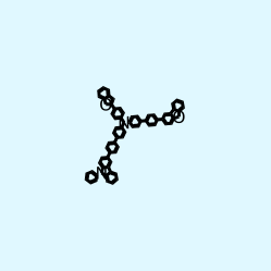 c1ccc(-n2c3ccccc3c3cc(-c4ccc(-c5ccc(N(c6ccc(-c7ccc(-c8ccc9oc%10ccccc%10c9c8)cc7)cc6)c6ccc(-c7cc8ccccc8o7)cc6)cc5)cc4)ccc32)cc1